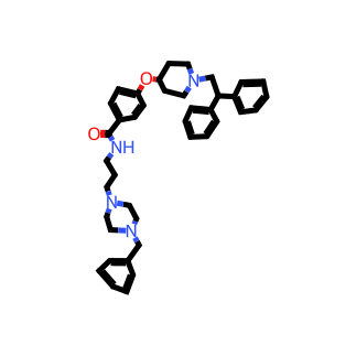 O=C(NCCCN1CCN(Cc2ccccc2)CC1)c1ccc(OC2CCN(CC(c3ccccc3)c3ccccc3)CC2)cc1